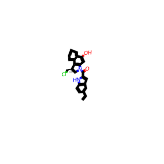 C=Cc1ccc2[nH]c(C(=O)N3C[C@@H](CCl)c4c3cc(O)c3ccccc43)cc2c1